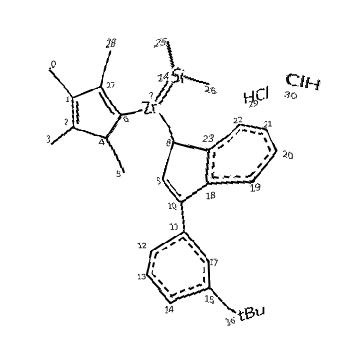 CC1=C(C)C(C)[C]([Zr]([CH]2C=C(c3cccc(C(C)(C)C)c3)c3ccccc32)=[Si](C)C)=C1C.Cl.Cl